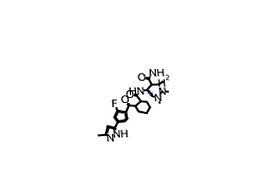 CCC(C(N)=O)/C(=C\N(C)NC)NC(=O)C1CCCCC1C(=O)c1ccc(-c2cc(C)n[nH]2)cc1F